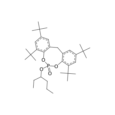 CCCC(CC)OP1(=O)Oc2c(cc(C(C)(C)C)cc2C(C)(C)C)Cc2cc(C(C)(C)C)cc(C(C)(C)C)c2O1